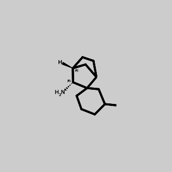 CC1CCCC2(C1)C1CC[C@H](C1)[C@H]2N